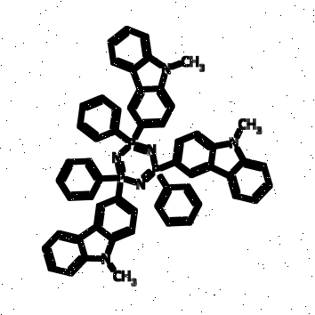 Cn1c2ccccc2c2cc(P3(c4ccccc4)=NP(c4ccccc4)(c4ccc5c(c4)c4ccccc4n5C)=NP(c4ccccc4)(c4ccc5c(c4)c4ccccc4n5C)=N3)ccc21